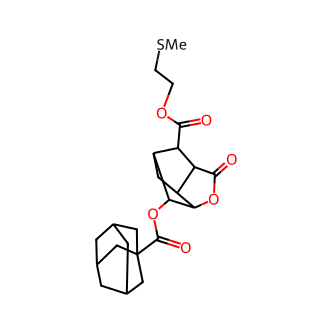 CSCCOC(=O)C1C2CC3C(OC(=O)C31)C2OC(=O)C12CC3CC(CC(C3)C1)C2